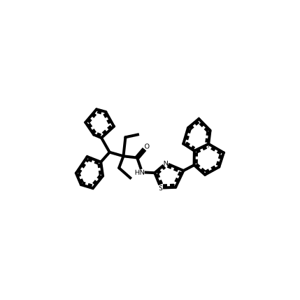 CCC(CC)(C(=O)Nc1nc(-c2cccc3ccccc23)cs1)C(c1ccccc1)c1ccccc1